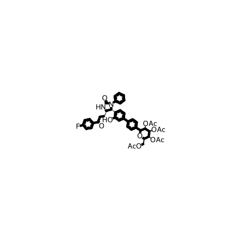 CC(=O)OC[C@H]1OC(c2ccc(-c3ccc([C@@H]4[C@H](CCC(=O)c5ccc(F)cc5)NC(=O)N4c4ccccc4)c(O)c3)cc2)[C@H](OC(C)=O)[C@@H](OC(C)=O)[C@@H]1OC(C)=O